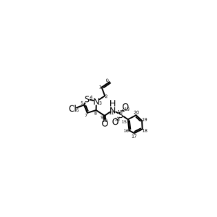 C=CCN1SC(Cl)=CC1C(=O)NS(=O)(=O)c1ccccc1